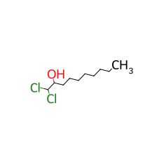 CCCCCCCCC(O)C(Cl)Cl